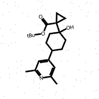 Cc1cc(C2CCC(O)(C3(C(=O)OC(C)(C)C)CC3)CC2)cc(C)n1